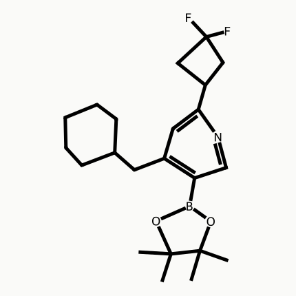 CC1(C)OB(c2cnc(C3CC(F)(F)C3)cc2CC2CCCCC2)OC1(C)C